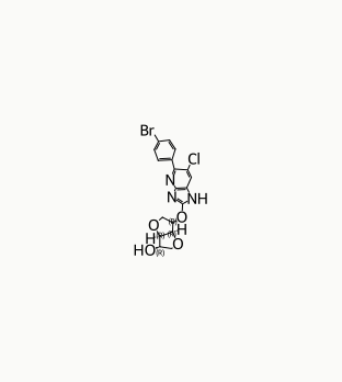 O[C@@H]1CO[C@H]2[C@@H]1OC[C@H]2Oc1nc2nc(-c3ccc(Br)cc3)c(Cl)cc2[nH]1